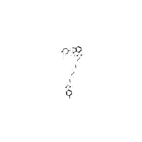 Cc1ccc(S(=O)(=O)OCCOCCOCCOCCS(=O)(=O)c2cccc3c2C(=O)N(C2CCC(=O)NC2=O)C3=O)cc1